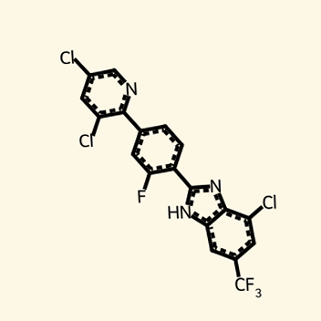 Fc1cc(-c2ncc(Cl)cc2Cl)ccc1-c1nc2c(Cl)cc(C(F)(F)F)cc2[nH]1